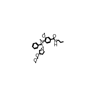 CCCNC(=O)c1ccc(N(C)[C@H](CN2CC[C@H](OCOC)C2)c2ccccc2)c(OC)c1